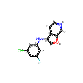 Fc1cc(Cl)cc(Nc2coc3cnccc23)c1